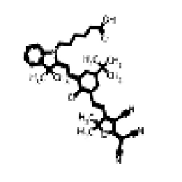 CC1(C)OC(=C(C#N)C#N)C(C#N)=C1/C=C/C1=C(Cl)C(=C/C=C2/N(CCCCCC(=O)O)c3ccccc3C2(C)C)/CC(C(C)(C)C)C1